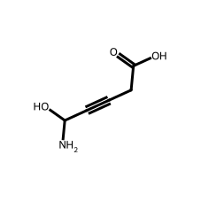 NC(O)C#CCC(=O)O